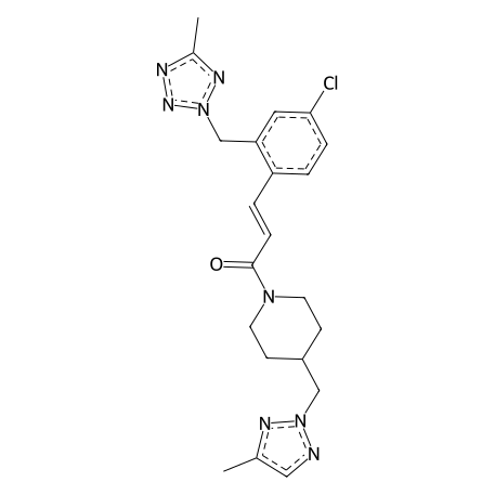 Cc1cnn(CC2CCN(C(=O)/C=C/c3ccc(Cl)cc3Cn3nnc(C)n3)CC2)n1